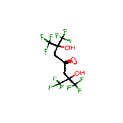 O=C(CC(O)(C(F)(F)F)C(F)(F)F)CC(O)(C(F)(F)F)C(F)(F)F